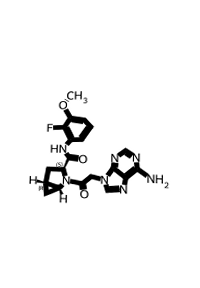 COc1cccc(NC(=O)[C@@H]2C[C@H]3C[C@H]3N2C(=O)Cn2cnc3c(N)ncnc32)c1F